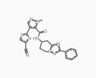 Cn1ncc(-c2nc(C#N)cs2)c1C(=O)NC1CCn2nc(-c3ccccc3)nc2C1